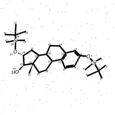 CC(C)(C)[Si](C)(C)Oc1ccc2c(c1)CCC1C2CC[C@@]2(C)C1C[C@@H](O[Si](C)(C)C(C)(C)C)[C@@H]2O